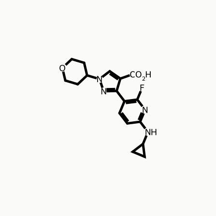 O=C(O)c1cn(C2CCOCC2)nc1-c1ccc(NC2CC2)nc1F